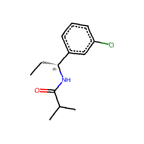 CC[C@@H](NC(=O)C(C)C)c1cccc(Cl)c1